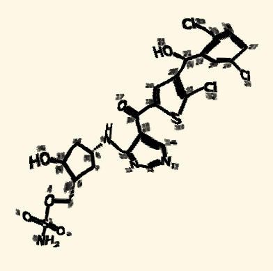 NS(=O)(=O)OC[C@H]1C[C@@H](Nc2ncncc2C(=O)c2cc([C@@H](O)c3cc(Cl)ccc3Cl)c(Cl)s2)C[C@@H]1O